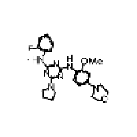 COc1cc(N2CCOCC2)ccc1Nc1nc(Nc2ccccc2F)nc(N2CCCC2)n1